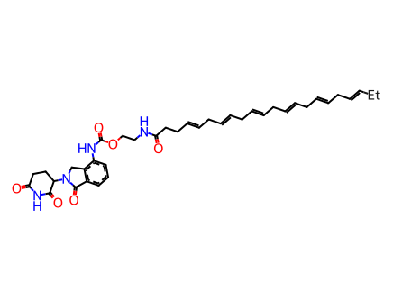 CCC=CCC=CCC=CCC=CCC=CCC=CCCC(=O)NCCOC(=O)Nc1cccc2c1CN(C1CCC(=O)NC1=O)C2=O